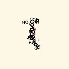 C#C[C@@]12CC[C@@]3(NCC[C@]4(O)CC[C@@H](S(C)(=O)=O)CC4)CC[C@@H](C(=C)C)[C@@H]3[C@H]1CC[C@@H]1[C@@]3(C)CC=C(C4=CC[C@@](COc5ncccc5C#N)(C(=O)O)CC4)C(C)(C)[C@@H]3CC[C@]12C